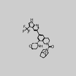 O=C(N1CCc2cc(-c3cnc4[nH]cc(C(F)(F)F)c4c3)cc([C@@H]3COCCN3)c2C1)N1CC2CCC(C1)O2